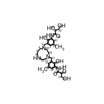 Cc1cc(CN2CCCNCCN(Cc3cc(C)cc(NC(=O)C(O)CO)c3O)CC2)c(O)c(NC(=O)C(O)CO)c1